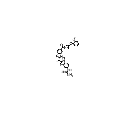 COc1ccccc1OCCNC(=O)c1ccc2nc(C(C)c3nc4cc(NC(=N)N)ccc4[nH]3)n(C)c2c1